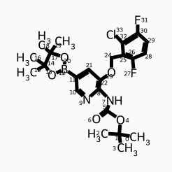 CC(C)(C)OC(=O)Nc1ncc(B2OC(C)(C)C(C)(C)O2)cc1OCc1c(F)ccc(F)c1Cl